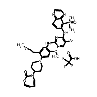 COCCc1cc(Nc2ncc(Br)c(Nc3ccc4nccnc4c3P(C)(C)=O)n2)c(OC)cc1N1CCC(N2C=CC=COC2=O)CC1.O=C(O)C(F)(F)F